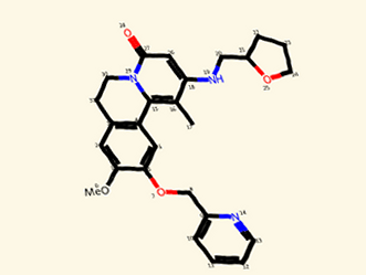 COc1cc2c(cc1OCc1ccccn1)-c1c(C)c(NCC3CCCO3)cc(=O)n1CC2